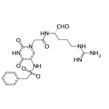 N=C(N)NCCC[C@@H](C=O)NC(=O)Cn1cc(NS(=O)(=O)Cc2ccccc2)c(=O)[nH]c1=O